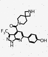 O=C(c1cc(-c2ccc(O)cc2)nc2[nH]nc(C(F)(F)F)c12)N1CCC2(CC1)CNC2